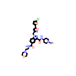 CC(C)N1CCC(NC(=O)c2nn(Cc3cc(-c4ccc(Cl)s4)on3)c3ccc(C(=O)NCCN4CCOCC4)cc23)CC1